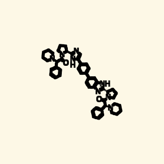 O=C([C@@H](c1ccccc1)N1CCCCC1)N1CCC[C@H]1c1ncc(-c2ccc(-c3ccc4nc([C@@H]5CCCN5C(=O)[C@@H](c5ccccc5)N5CCCCC5)[nH]c4c3)cc2)[nH]1